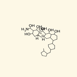 CC1CCCC1CC1CCC(C2CCC(O)C3C(O)C4C(O)[C@]5(O)C(O)C(C(N)O)C(O)C[C@@H]5C[C@@H]4CC23)CC1